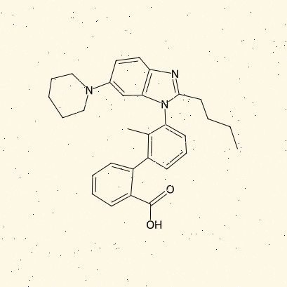 CCCCc1nc2ccc(N3CCCCC3)cc2n1-c1cccc(-c2ccccc2C(=O)O)c1C